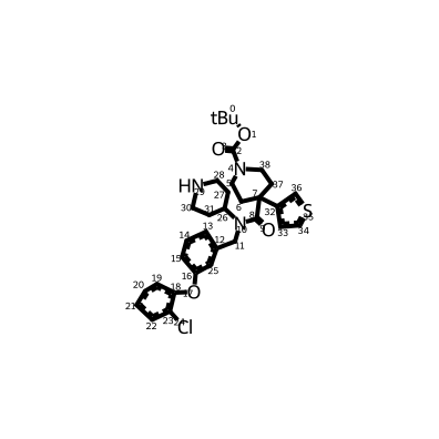 CC(C)(C)OC(=O)N1CCC(C(=O)N(Cc2cccc(Oc3ccccc3Cl)c2)C2CCNCC2)(c2ccsc2)CC1